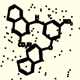 CCOC(=O)c1nc(Nc2cc(Oc3ccc4ccccc4c3)cc([N+](=O)[O-])c2)c2ccccc2n1